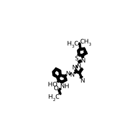 C=CC(=O)Nc1cc(N=Nc2nn(-c3nc4ccc(C(C)C)cc4s3)cc2C#N)c2ccccc2c1O